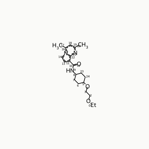 CCOCCOC1CCC(NC(=O)c2ccn3c(C)cc(C)nc23)CC1